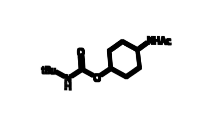 CC(=O)NC1CCC(OC(=O)NC(C)(C)C)CC1